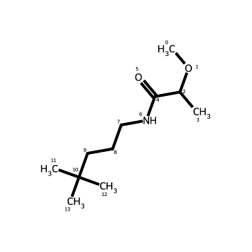 COC(C)C(=O)NCCCC(C)(C)C